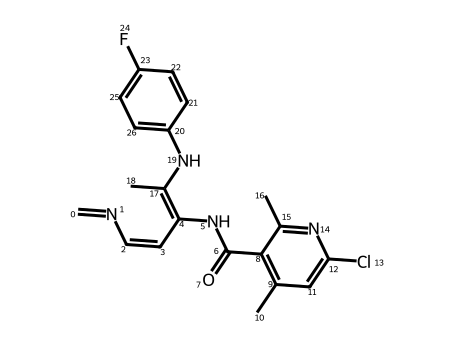 C=N/C=C\C(NC(=O)c1c(C)cc(Cl)nc1C)=C(/C)Nc1ccc(F)cc1